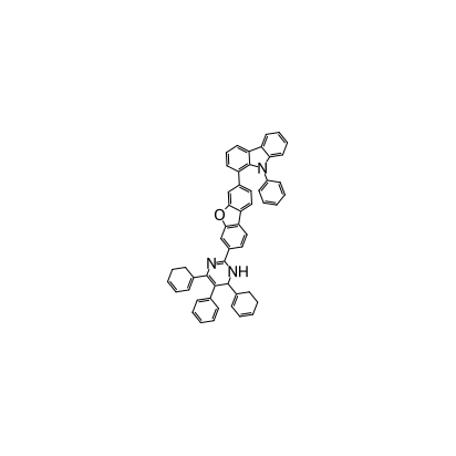 C1=CCCC(C2=C(c3ccccc3)C(C3=CC=CCC3)NC(c3ccc4c(c3)oc3cc(-c5cccc6c7ccccc7n(-c7ccccc7)c56)ccc34)=N2)=C1